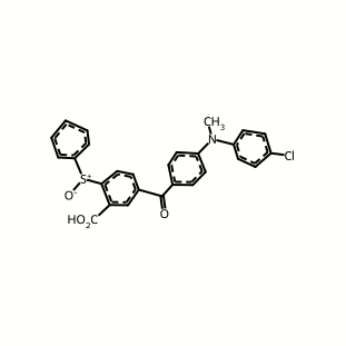 CN(c1ccc(Cl)cc1)c1ccc(C(=O)c2ccc([S+]([O-])c3ccccc3)c(C(=O)O)c2)cc1